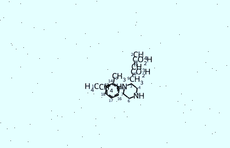 C.C.C.C1CNCCN1.CC(=O)O.CC(=O)O.Cc1ccccc1